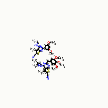 CCNc1nc(-c2cc(OC)cc(OC)c2)nc2sc(C#N)c(C)c12.COc1cc(Cc2nc(NCC(C)C)c3c(C)c(C#N)sc3n2)cc(OC)c1OC